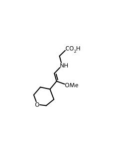 CO/C(=C\NCC(=O)O)C1CCOCC1